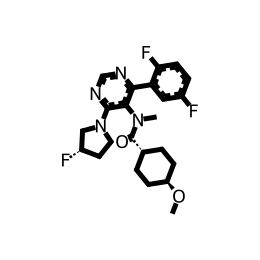 CO[C@H]1CC[C@H](C(=O)N(C)c2c(-c3cc(F)ccc3F)ncnc2N2CC[C@H](F)C2)CC1